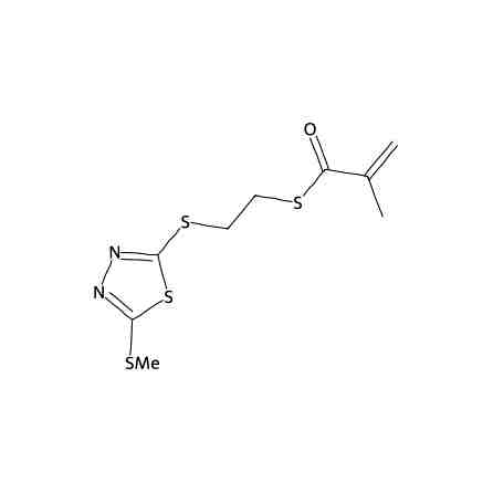 C=C(C)C(=O)SCCSc1nnc(SC)s1